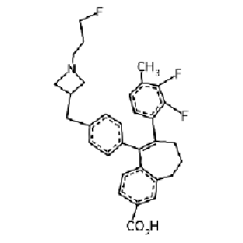 Cc1ccc(C2=C(c3ccc(CC4CN(CCCF)C4)cc3)c3ccc(C(=O)O)cc3CCC2)c(F)c1F